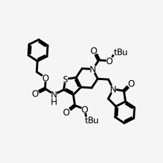 CC(C)(C)OC(=O)c1c(NC(=O)OCc2ccccc2)sc2c1CC(CN1Cc3ccccc3C1=O)N(C(=O)OC(C)(C)C)C2